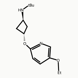 CCOc1ccc(O[C@H]2C[C@H](NC(C)(C)C)C2)nc1